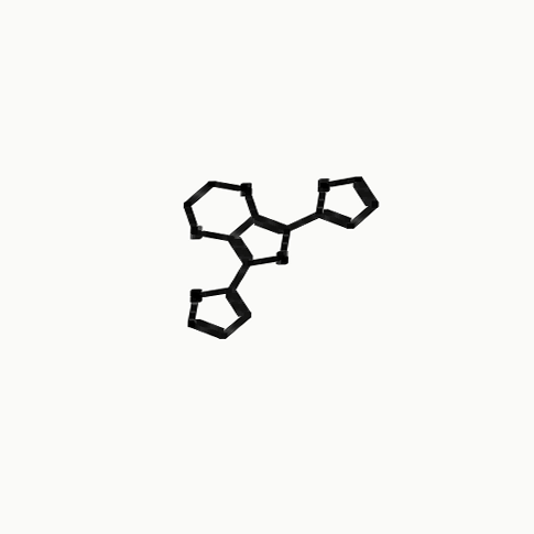 c1csc(-c2sc(-c3cccs3)c3c2SCCS3)c1